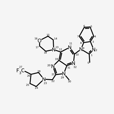 Cc1nc2ccccc2n1-c1nc(N2CCOCC2)c2nc(CN3CCC(C(F)(F)F)C3)n(C)c2n1